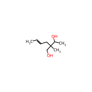 CC=CCC(C)(CO)C(C)O